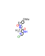 CCC(=O)N1N=C(c2c(C)c3nc(Cl)ccc3[nH]c2=O)CC1c1ccc(OC)cc1